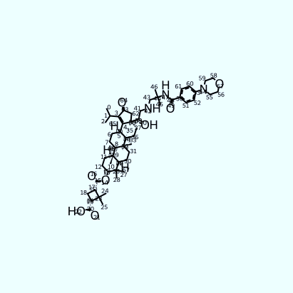 CC(C)C1=C2[C@H]3CC[C@@H]4[C@@]5(C)CC[C@H](OC(=O)[C@H]6C[C@@H](C(=O)O)C6(C)C)C(C)(C)[C@@H]5CC[C@@]4(C)[C@]3(C)CC[C@@]2([C@@H](O)CNCC(C)(C)NC(=O)c2ccc(N3CCOCC3)cc2)CC1=O